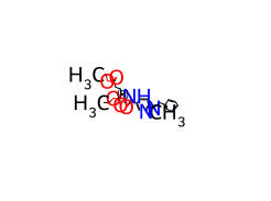 CCOC(=O)CC[C@@H](NC(=O)c1ccc(N(C)Cc2ccccc2)nc1)C(=O)OCC